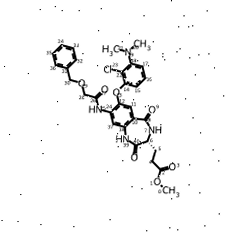 COC(=O)CC[C@H]1NC(=O)c2cc(Oc3cccc(N(C)C)c3Cl)c(NC(=O)COCc3ccccc3)cc2NC1=O